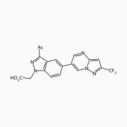 CC(=O)c1nn(CC(=O)O)c2ccc(-c3cnc4cc(C(F)(F)F)nn4c3)cc12